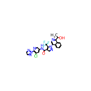 CC(O)c1ncc(-n2ncc(C(=O)Nc3cnc(-n4nccn4)c(Cl)c3)c2C(F)(F)F)c2ccccc12